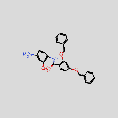 Nc1ccc(NC(=O)c2ccc(OCc3ccccc3)cc2OCc2ccccc2)c(O)c1